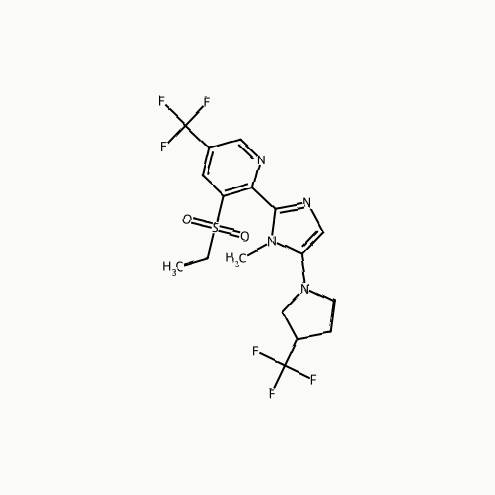 CCS(=O)(=O)c1cc(C(F)(F)F)cnc1-c1ncc(N2CCC(C(F)(F)F)C2)n1C